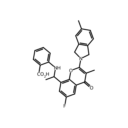 Cc1ccc2c(c1)CN(c1oc3c(C(C)Nc4ccccc4C(=O)O)cc(F)cc3c(=O)c1C)C2